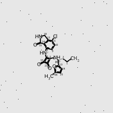 CCC[C@@H](Nc1c(Nc2ccc(Cl)c3c2C(=O)NC3)c(=O)c1=O)c1ccc(C)o1